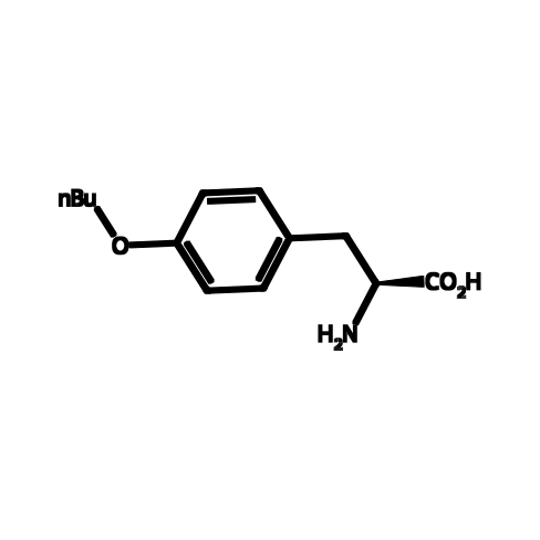 CCCCOc1ccc(C[C@H](N)C(=O)O)cc1